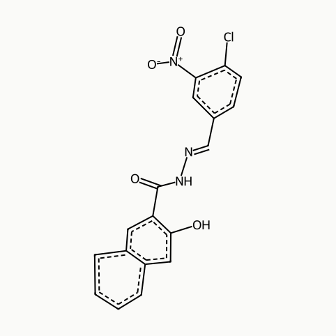 O=C(N/N=C/c1ccc(Cl)c([N+](=O)[O-])c1)c1cc2ccccc2cc1O